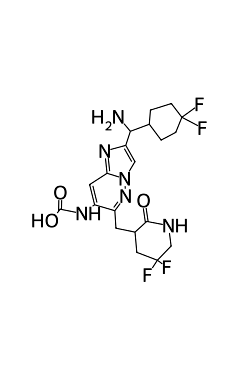 NC(c1cn2nc(CC3CC(F)(F)CNC3=O)c(NC(=O)O)cc2n1)C1CCC(F)(F)CC1